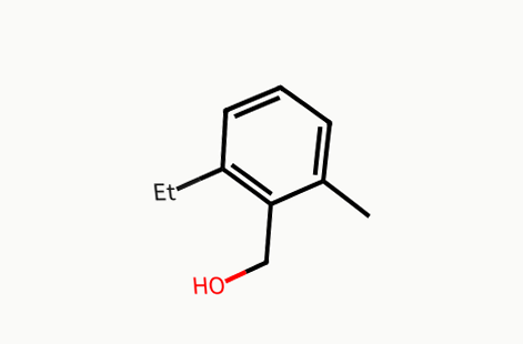 CCc1cccc(C)c1CO